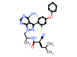 CC(C)/C=C(\C#N)C(=O)N[C@@H](C)Cn1nc(-c2ccc(Oc3ccccc3)cc2F)c2c(N)ncnc21